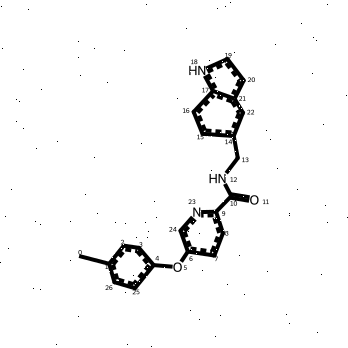 Cc1ccc(Oc2ccc(C(=O)NCc3ccc4[nH]ccc4c3)nc2)cc1